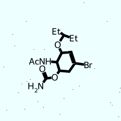 CCC(CC)OC1C=C(Br)CC(OC(N)=O)C1NC(C)=O